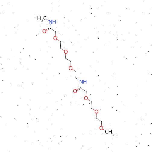 CNC(=O)COCCOCCOCCNC(=O)COCCOCCOC